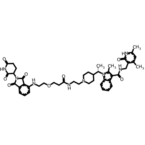 Cc1cc(C)c(CNC(=O)c2c(C)n([C@@H](C)C3CCN(CCNC(=O)CCOCCNc4cccc5c4C(=O)N(C4CCC(=O)NC4=O)C5=O)CC3)c3ccccc23)c(=O)[nH]1